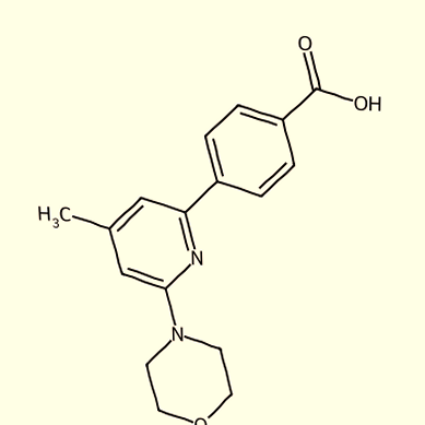 Cc1cc(-c2ccc(C(=O)O)cc2)nc(N2CCOCC2)c1